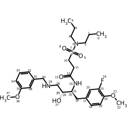 CCCN(CCC)S(=O)(=O)CCC(=O)N[C@@H](Cc1ccc(OC)c(F)c1)[C@H](O)CNCc1cccc(OC)c1